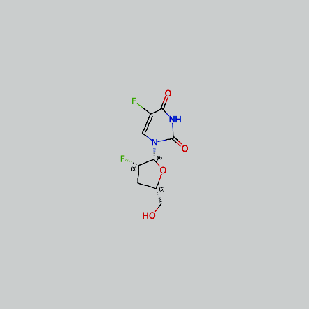 O=c1[nH]c(=O)n([C@@H]2O[C@H](CO)C[C@@H]2F)cc1F